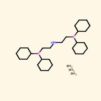 B.B.B.C1CCC(P(CCNCCP(C2CCCCC2)C2CCCCC2)C2CCCCC2)CC1